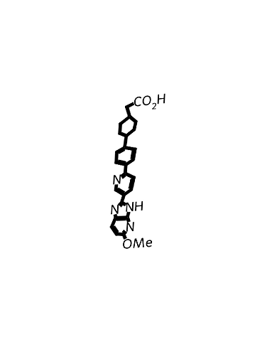 COc1ccc2nc(-c3ccc(-c4ccc(C5CCC(CC(=O)O)CC5)cc4)nc3)[nH]c2n1